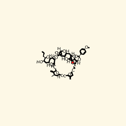 C=C1CC2CC[C@@]34OC5[C@H]6O[C@H](CC[C@@H]6O[C@H]6C(O3)[C@]3(O[C@@H](c7ccc(OC)cc7)O[C@@H]43)O[C@@H]56)CC(=O)O[C@@H]3[C@@H](C)[C@@H]4O[C@H](CCC)[C@H](O)C[C@@H]4O[C@H]3CC3O[C@@H](CCC1O2)C[C@@H](C)C3=C